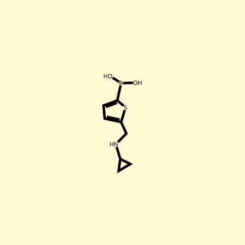 OB(O)c1ccc(CNC2CC2)s1